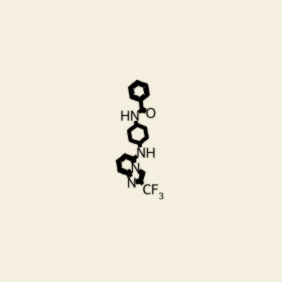 O=C(NC1CCC(Nc2cccc3nc(C(F)(F)F)cn23)CC1)c1ccccc1